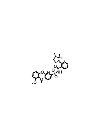 COc1cccc(Oc2cccc(S(=O)(=O)NC(=O)c3cccnc3N3CCC(C)C3(C)C)n2)c1OC